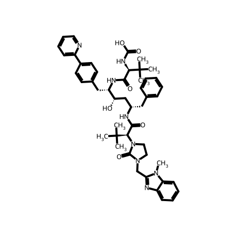 Cn1c(CN2CCN([C@H](C(=O)N[C@@H](Cc3ccccc3)C[C@H](O)[C@H](Cc3ccc(-c4ccccn4)cc3)NC(=O)[C@@H](NC(=O)O)C(C)(C)C)C(C)(C)C)C2=O)nc2ccccc21